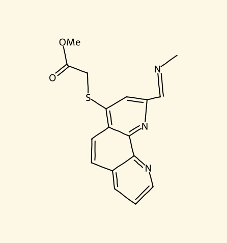 C/N=C/c1cc(SCC(=O)OC)c2ccc3cccnc3c2n1